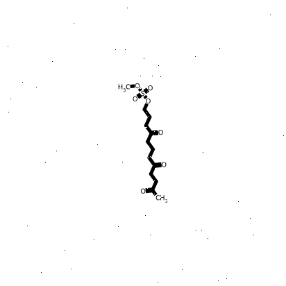 COS(=O)(=O)OCCCC(=O)CCCC(=O)CCC(C)=O